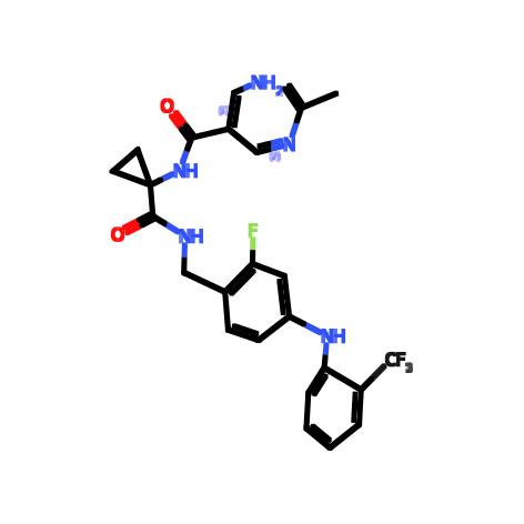 C=C(C)/N=C\C(=C/N)C(=O)NC1(C(=O)NCc2ccc(Nc3ccccc3C(F)(F)F)cc2F)CC1